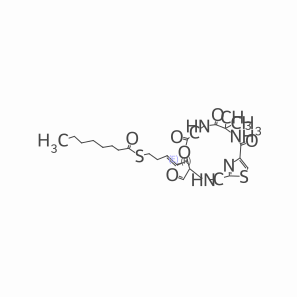 CCCCCCCC(=O)SCC/C=C/[C@H]1OC(=O)CNC(=O)C(C)(C)NC(=O)c2csc(n2)CNCC1C=O